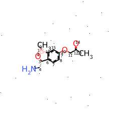 CB1O[C@@H](CN)c2ccc(OCC(C)=O)cc21